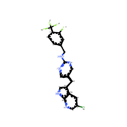 Fc1cc(CNc2ncc(Cc3c[nH]c4ncc(Cl)cc34)cn2)ccc1C(F)(F)F